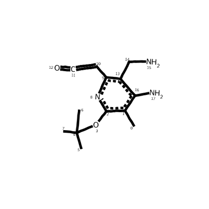 Cc1c(OC(C)(C)C)nc(C=C=O)c(CN)c1N